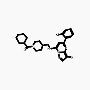 O=C(C1CCCCC1)N1CCC(CNc2cc(-c3ccccc3Cl)nc3c(Br)cnn23)CC1